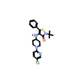 CC(C)(C)n1sc(-c2ccccc2)c(NC2CCN(c3ccc(Cl)cn3)CC2)c1=O